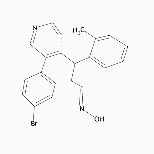 Cc1ccccc1C(CC=NO)c1ccncc1-c1ccc(Br)cc1